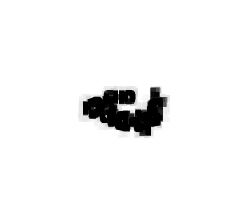 CC1(CCN(C=O)c2ccncc2C(F)(F)F)CCN(c2cnc3cnn(CC(F)F)c3n2)CC1